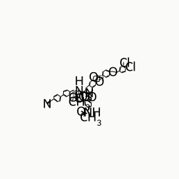 COC(=O)[C@H](Cc1ccc(-c2ccc(C#N)cc2)cc1)NC(=O)C1Cc2cc3c(cc2CN1S(=O)(=O)c1ccc(NC(C)=O)cc1)O[C@@H](c1ccc(OCc2ccc(Cl)c(Cl)c2)cc1)CO3